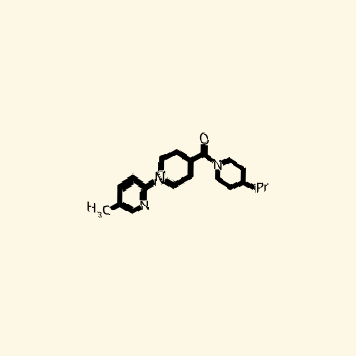 Cc1ccc(N2CCC(C(=O)N3CCC(C(C)C)CC3)CC2)nc1